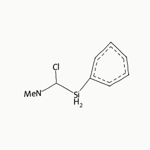 CNC(Cl)[SiH2]c1ccccc1